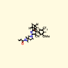 C=CC(=O)N1CC2(CCN(c3nc4c(c(-c5cc(OC)cc(C(F)(F)F)c5)c3C#N)C[C@H]3C[C@@H]4C3(C)C)C2)C1